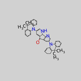 CC1(C)C2=C(C=CCC2)N(c2cnc3c(c2)C(=O)C2=CC(N4c5ccccc5C(C)(C)c5ccccc54)=CNC23)c2ccccc21